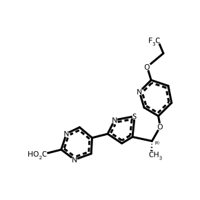 C[C@@H](Oc1ccc(OCC(F)(F)F)nc1)c1cc(-c2cnc(C(=O)O)nc2)ns1